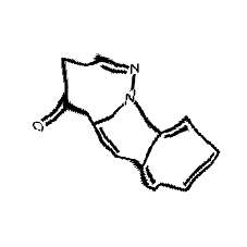 O=C1CC=Nn2c1cc1ccccc12